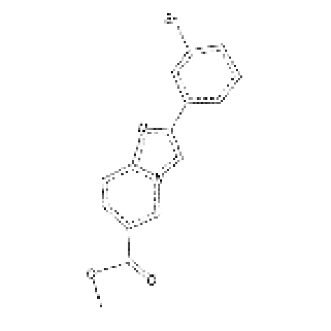 COC(=O)c1ccc2nc(-c3cccc(Br)c3)cn2c1